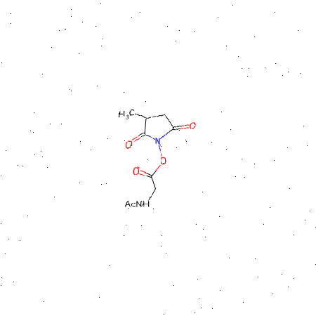 CC(=O)NCC(=O)ON1C(=O)CC(C)C1=O